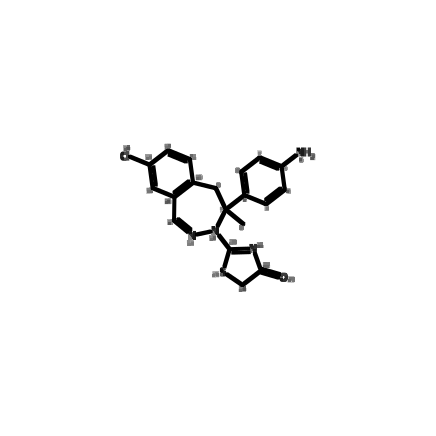 CC1(c2ccc(N)cc2)Cc2ccc(Cl)cc2C=NN1C1=NC(=O)CS1